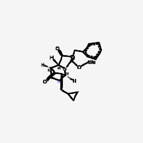 CC(C)(C)OC(=O)N1[C@H]2CC[C@H](C(=O)/C2=C/C2CC2)[C@@H]1C(=O)OCc1ccccc1